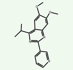 COc1cc2nc(-c3cccnc3)nc(C(C)C)c2cc1OC